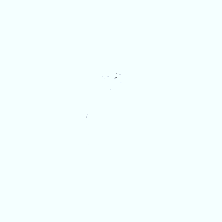 CCCCCCCC/C=C\CCCCCCCC(=O)O[C@@H](CO)COP(=O)([O-])OC(CC)C[N+](C)(C)C